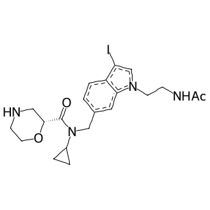 CC(=O)NCCn1cc(I)c2ccc(CN(C(=O)[C@H]3CNCCO3)C3CC3)cc21